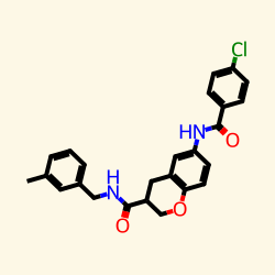 Cc1cccc(CNC(=O)C2COc3ccc(NC(=O)c4ccc(Cl)cc4)cc3C2)c1